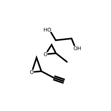 C#CC1CO1.CC1CO1.OCCO